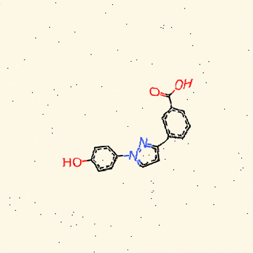 O=C(O)c1cccc(-c2ccn(-c3ccc(O)cc3)n2)c1